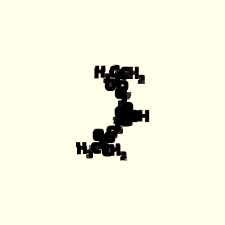 C=C(C)C(=O)OOCCOP(=O)(O)OCCOOC(=O)C(=C)C